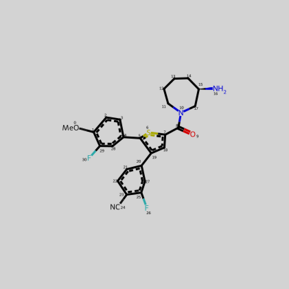 COc1ccc(-c2sc(C(=O)N3CCCC[C@@H](N)C3)cc2-c2ccc(C#N)c(F)c2)cc1F